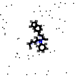 C=C(/C=C/c1ccc2c(c1)CCC2)N(/C(C)=C/C=C\C)C1CCCCC1